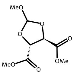 COC(=O)[C@@H]1OC(OC)O[C@H]1C(=O)OC